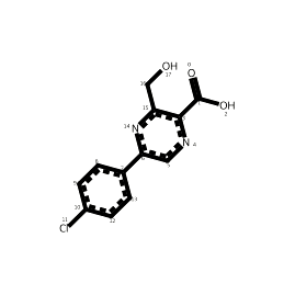 O=C(O)c1ncc(-c2ccc(Cl)cc2)nc1CO